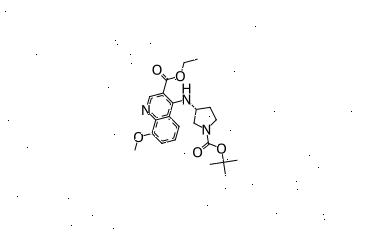 CCOC(=O)c1cnc2c(OC)cccc2c1NC1CCN(C(=O)OC(C)(C)C)C1